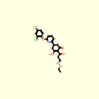 CCON=CCC(=O)C1=C(O)CC(c2cccc(Oc3ccc(Cl)cc3Cl)n2)CC1=O